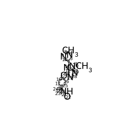 CCn1c(-c2cnc(C)nc2)nc2c(OC3CCC(C4(NC=O)CC4)CC3)ncnc21